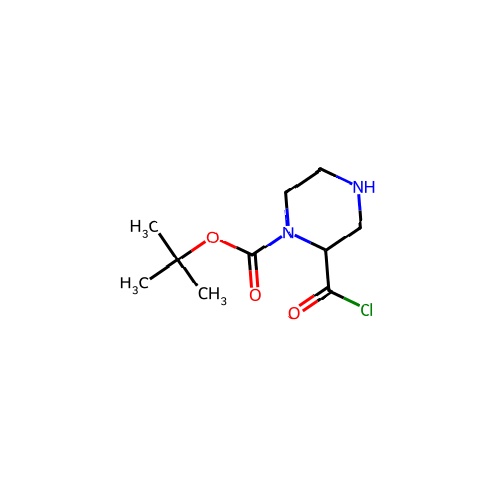 CC(C)(C)OC(=O)N1CCNCC1C(=O)Cl